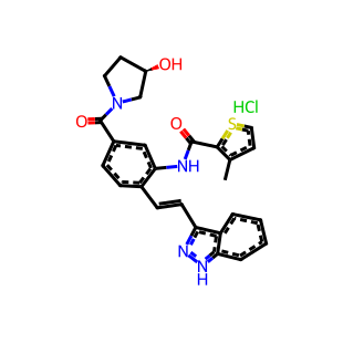 Cc1ccsc1C(=O)Nc1cc(C(=O)N2CC[C@@H](O)C2)ccc1C=Cc1n[nH]c2ccccc12.Cl